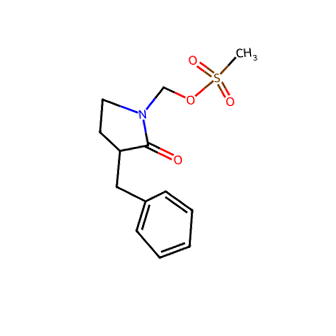 CS(=O)(=O)OCN1CCC(Cc2ccccc2)C1=O